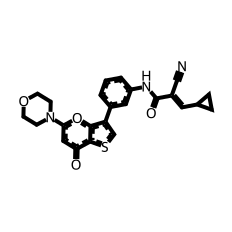 N#C/C(=C\C1CC1)C(=O)Nc1cccc(-c2csc3c(=O)cc(N4CCOCC4)oc23)c1